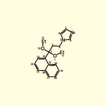 CCOC(CCn1ccnc1)(OCC)c1cccc2ccccc12